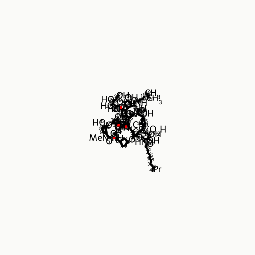 CN[C@H]1C(=O)N[C@@H]2CC3=CC=C(CC3)Oc3cc4cc(c3O[C@@H]3OC(C(=O)O)[C@@H](O)C(O)C3NC(=O)CCCCCCCCC(C)C)OC3=CC=C(CC3Cl)[C@@H](O)[C@@H]3NC(=O)[C@H](NC(=O)[C@@H]4NC(=O)[C@@H](NC2=O)c2cc(cc(O)c2Cl)Oc2cc1ccc2O)C1=CC=C(CO)C(C1)C1=C(O[C@H]2OC(CO)[C@@H](O)C(O)C2O)CC(O)C=C1[C@@H](C(=O)NCCCN(C)C)NC3=O